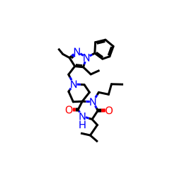 CCCCN1C(=O)C(CC(C)C)NC(=O)C12CCN(Cc1c(CC)nn(-c3ccccc3)c1CC)CC2